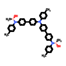 CB(O)N(c1ccc(C)cc1)c1ccc(-c2ccc(N(c3ccc(C)cc3)c3ccc(-c4ccc(N(B(C)O)c5ccc(C)cc5)cc4)cc3)cc2)cc1